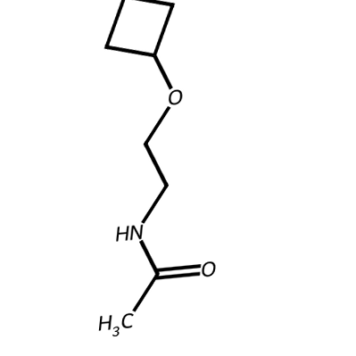 CC(=O)NCCOC1CCC1